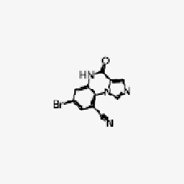 N#Cc1cc(Br)cc2[nH]c(=O)c3cncn3c12